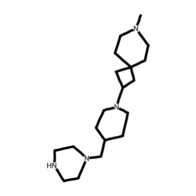 CN1CCC2(CC1)CC(N1CCC(CN3CCNCC3)CC1)C2